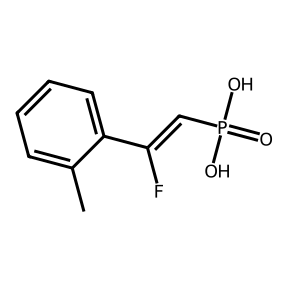 Cc1ccccc1C(F)=CP(=O)(O)O